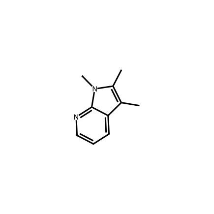 Cc1c(C)n(C)c2ncccc12